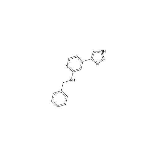 c1ccc(CNc2cc(-c3c[nH]cn3)ccn2)cc1